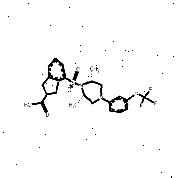 C[C@@H]1CN(c2cccc(OC(F)(F)F)c2)C[C@H](C)N1S(=O)(=O)c1cccc2c1CC(C(=O)O)C2